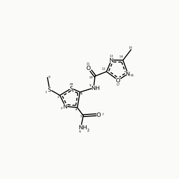 CSc1nc(C(N)=O)c(NC(=O)c2nc(C)no2)s1